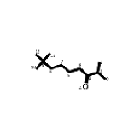 CC(C)C(=O)CCCCC(C)(C)C